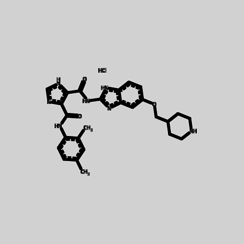 Cc1ccc(NC(=O)c2nc[nH]c2C(=O)Nc2nc3cc(OCC4CCNCC4)ccc3[nH]2)c(C)c1.Cl